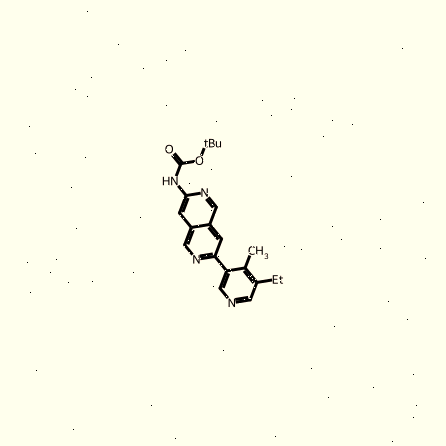 CCc1cncc(-c2cc3cnc(NC(=O)OC(C)(C)C)cc3cn2)c1C